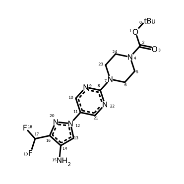 CC(C)(C)OC(=O)N1CCN(c2ncc(-n3cc(N)c(C(F)F)n3)cn2)CC1